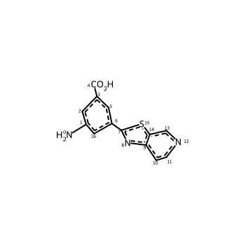 Nc1cc(C(=O)O)cc(-c2nc3ccncc3s2)c1